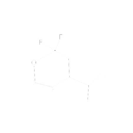 CC(C)C1CCOC(F)(F)C1